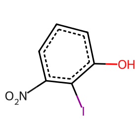 O=[N+]([O-])c1cccc(O)c1I